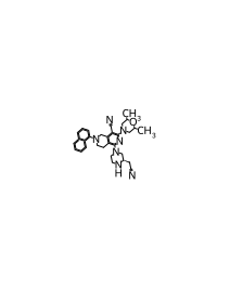 CC1CN(c2nc(N3CCN[C@H](CC#N)C3)c3c(c2C#N)CN(c2cccc4ccccc24)CC3)CC(C)O1